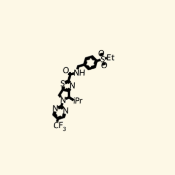 CCS(=O)(=O)c1ccc(CNC(=O)c2nc3c(s2)CN(c2ncc(C(F)(F)F)cn2)C3C(C)C)cc1